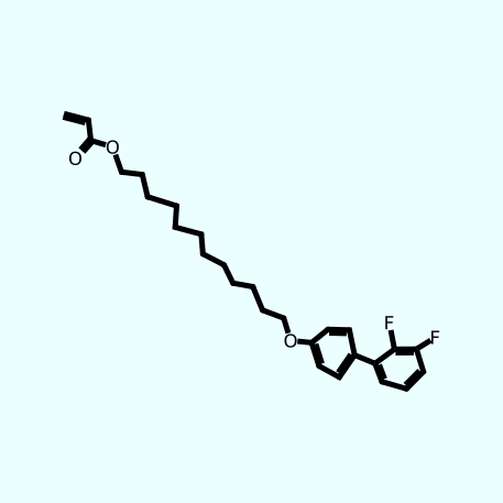 C=CC(=O)OCCCCCCCCCCCCOc1ccc(-c2cccc(F)c2F)cc1